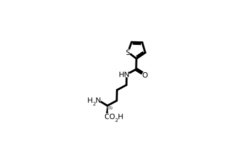 N[C@@H](CCCNC(=O)c1cccs1)C(=O)O